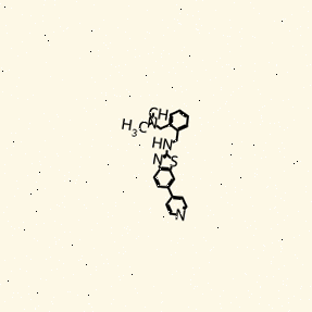 CN(C)Cc1ccccc1CNc1nc2ccc(-c3ccncc3)cc2s1